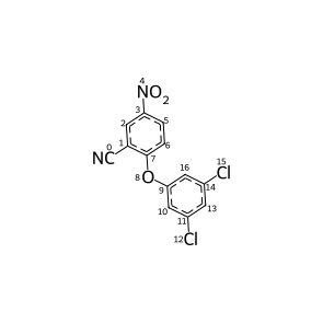 N#Cc1cc([N+](=O)[O-])ccc1Oc1cc(Cl)cc(Cl)c1